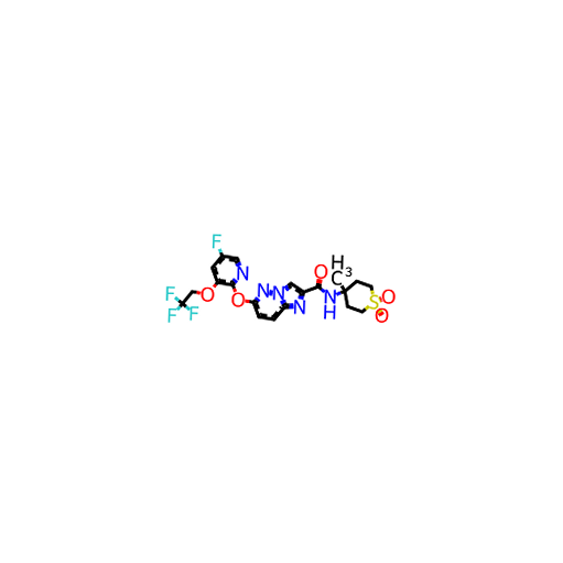 CC1(NC(=O)c2cn3nc(Oc4ncc(F)cc4OCC(F)(F)F)ccc3n2)CCS(=O)(=O)CC1